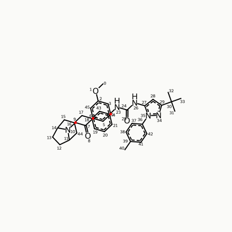 COc1cccc(C(=O)CN2C3CCC2CC(Cc2cccc(NC(=O)Nc4cc(C(C)(C)C)nn4-c4ccc(C)cc4)c2)C3)c1